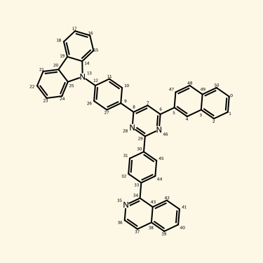 c1ccc2cc(-c3cc(-c4ccc(-n5c6ccccc6c6ccccc65)cc4)nc(-c4ccc(-c5nccc6ccccc56)cc4)n3)ccc2c1